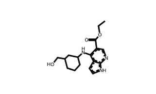 CCOC(=O)c1cnc2[nH]ccc2c1NC1CCCC(CO)C1